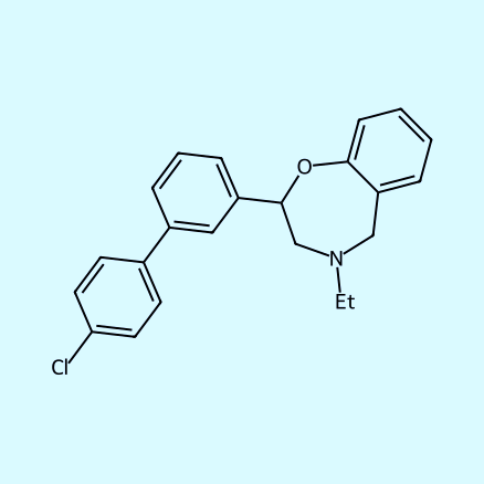 CCN1Cc2ccccc2OC(c2cccc(-c3ccc(Cl)cc3)c2)C1